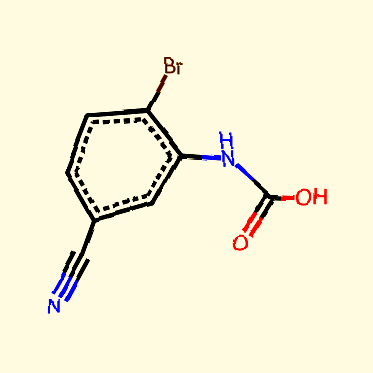 N#Cc1ccc(Br)c(NC(=O)O)c1